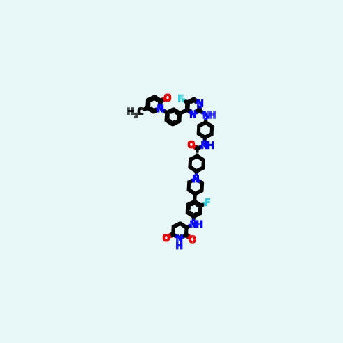 Cc1ccc(=O)n(-c2cccc(-c3nc(NC4CCC(NC(=O)[C@H]5CC[C@H](N6CCC(c7ccc(NC8CCC(=O)NC8=O)cc7F)CC6)CC5)CC4)ncc3F)c2)c1